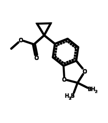 BC1(B)Oc2ccc(C3(C(=O)OC)CC3)cc2O1